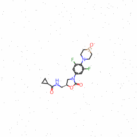 O=C(NC[C@H]1CN(c2cc(F)c(N3CC[S+]([O-])CC3)c(F)c2)C(=O)O1)C1CC1